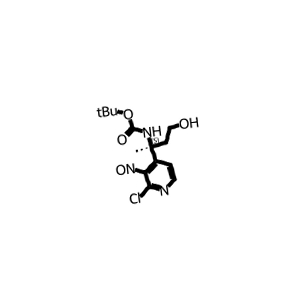 CC(C)(C)OC(=O)N[C@@](C)(CCO)c1ccnc(Cl)c1N=O